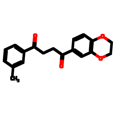 Cc1cccc(C(=O)CCC(=O)c2ccc3c(c2)OCCO3)c1